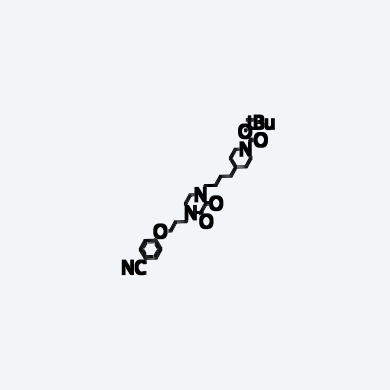 CC(C)(C)OC(=O)N1CCC(CCCCN2CCN(CCCOc3ccc(C#N)cc3)C(=O)C2=O)CC1